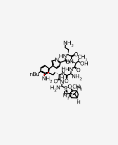 CCCCc1ccc(-c2ccc(C(=O)N[C@@H](CCN)C(=O)N[C@H](C(=O)N[C@@H](N)C(=O)N[C@@H](CCCCN)C(=O)N[C@@H](N)B3OC4C[C@@H]5C[C@@H](C5(C)C)[C@]4(C)O3)[C@@H](C)O)nc2)cc1